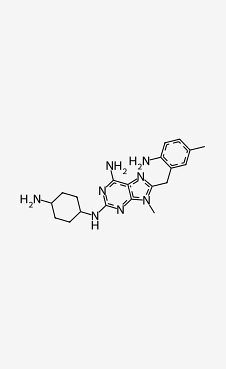 Cc1ccc(N)c(Cc2nc3c(N)nc(NC4CCC(N)CC4)nc3n2C)c1